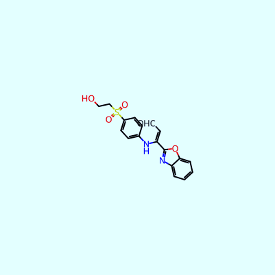 O=CC=C(Nc1ccc(S(=O)(=O)CCO)cc1)c1nc2ccccc2o1